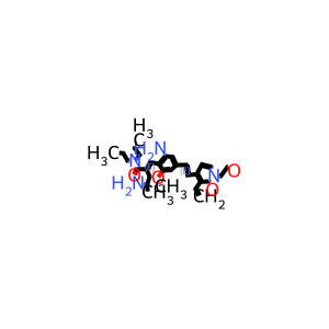 C=Cc1c(/C=C/c2cc(N)c(/C=C(\CC(C)N)C(=O)N(CCC)CCC)c(OC)c2)ccn(CC=O)c1=O